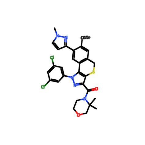 COc1cc2c(cc1-c1ccn(C)n1)-c1c(c(C(=O)N3CCOCC3(C)C)nn1-c1cc(Cl)cc(Cl)c1)SC2